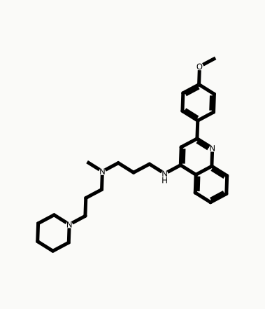 COc1ccc(-c2cc(NCCCN(C)CCCN3CCCCC3)c3ccccc3n2)cc1